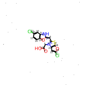 O=C(O)C[n+]1c(/C=C2/Nc3cc(Cl)ccc3O2)sc2oc(Cl)cc21